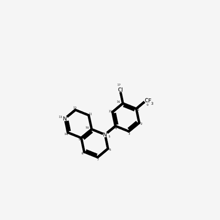 FC(F)(F)c1ccc(N2CC=CC3=C2CCN=C3)cc1Cl